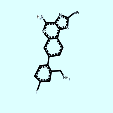 CCCc1nc2c(N)nc3cc(-c4ccc(F)cc4CN)ccc3c2s1